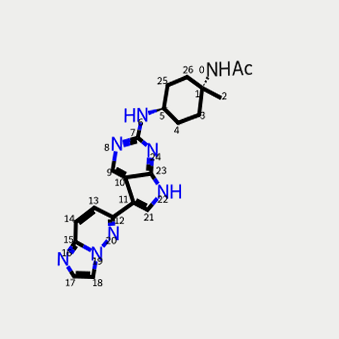 CC(=O)N[C@]1(C)CC[C@@H](Nc2ncc3c(-c4ccc5nccn5n4)c[nH]c3n2)CC1